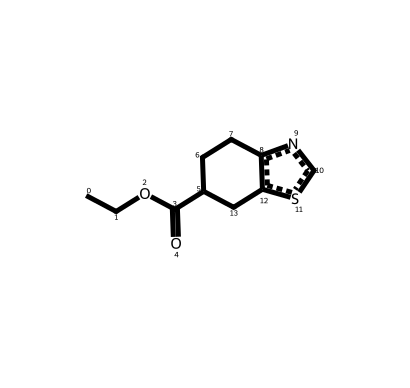 CCOC(=O)C1CCc2ncsc2C1